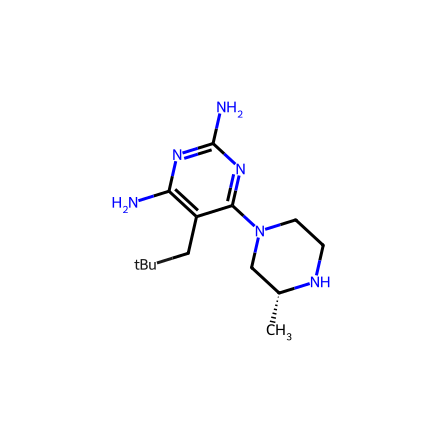 C[C@@H]1CN(c2nc(N)nc(N)c2CC(C)(C)C)CCN1